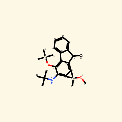 CO[Si]1(C)c2c(NC(C)(C)C)c(O[Si](C)(C)C)c3c(c21)[CH]([Zr])c1ccccc1-3